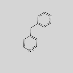 C1=CC(Cc2ccccc2)=CC=[N+]1